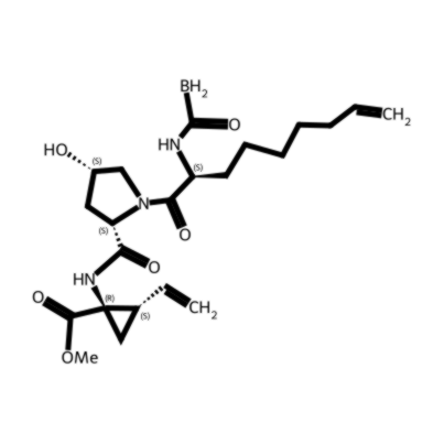 BC(=O)N[C@@H](CCCCCC=C)C(=O)N1C[C@@H](O)C[C@H]1C(=O)N[C@]1(C(=O)OC)C[C@H]1C=C